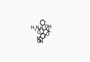 CC1(C)Oc2cc3nonc3cc2C(N(C(N)=O)C2CCCCC2)C1O